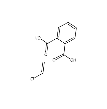 C=CCl.O=C(O)c1ccccc1C(=O)O